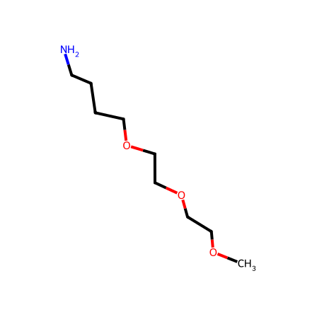 COCCOCCOCCCCN